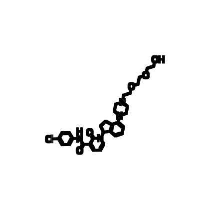 O=C(Nc1ccc(Cl)cc1)c1cccn(C2CCc3c2cccc3N2CCN(CCOCCOCCO)CC2)c1=O